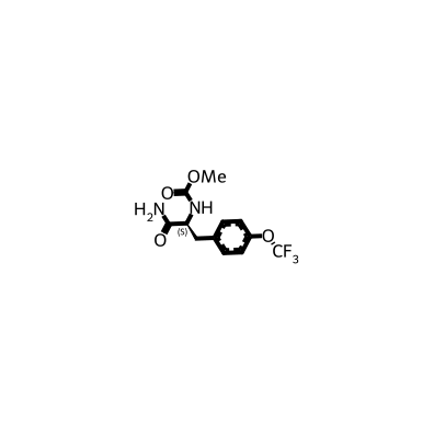 COC(=O)N[C@@H](Cc1ccc(OC(F)(F)F)cc1)C(N)=O